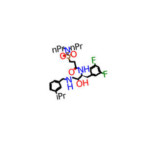 CCCN(CCC)S(=O)(=O)CCC(=O)N[C@@H](Cc1cc(F)cc(F)c1)[C@H](O)CNCc1cccc(C(C)C)c1